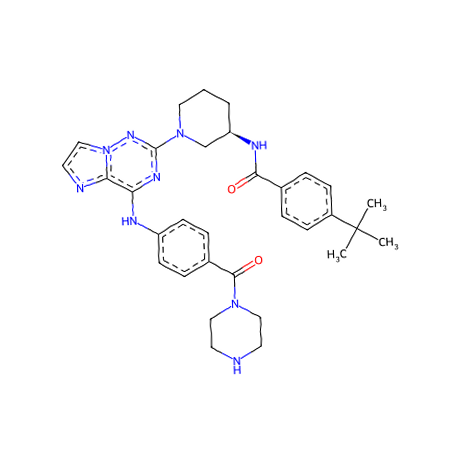 CC(C)(C)c1ccc(C(=O)N[C@@H]2CCCN(c3nc(Nc4ccc(C(=O)N5CCNCC5)cc4)c4nccn4n3)C2)cc1